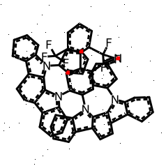 N#Cc1cc(-n2c3ccccc3c3ccc4c5ccccc5n(-c5ccccc5)c4c32)c(-n2c3ccccc3c3ccc4c5ccccc5n(-c5ccccc5)c4c32)cc1-c1c(C(F)(F)F)cccc1C(F)(F)F